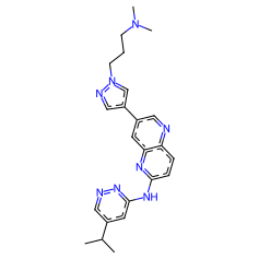 CC(C)c1cnnc(Nc2ccc3ncc(-c4cnn(CCCN(C)C)c4)cc3n2)c1